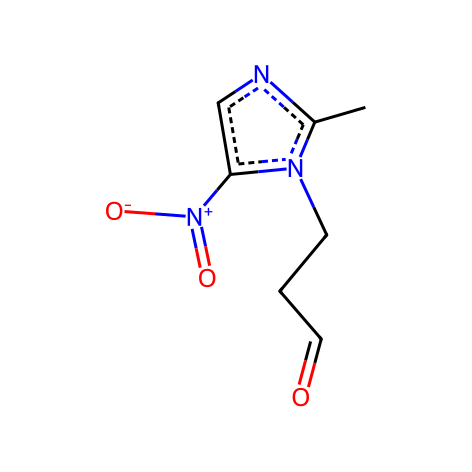 Cc1ncc([N+](=O)[O-])n1CCC=O